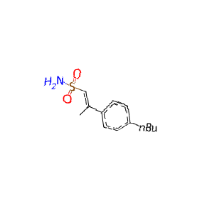 CCCCc1ccc(/C(C)=C/S(N)(=O)=O)cc1